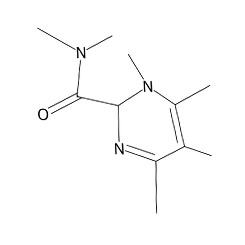 CC1=NC(C(=O)N(C)C)N(C)C(C)=C1C